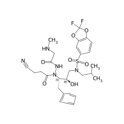 CNCC(=O)NN(C(=O)CCC#N)[C@@H](Cc1ccccc1)[C@H](O)CN(CC(C)C)S(=O)(=O)c1ccc2c(c1)OC(F)(F)O2